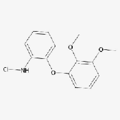 COc1cccc(Oc2ccccc2NCl)c1OC